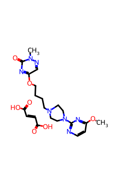 COc1ccnc(N2CCN(CCCCOc3cnn(C)c(=O)n3)CC2)n1.O=C(O)C=CC(=O)O